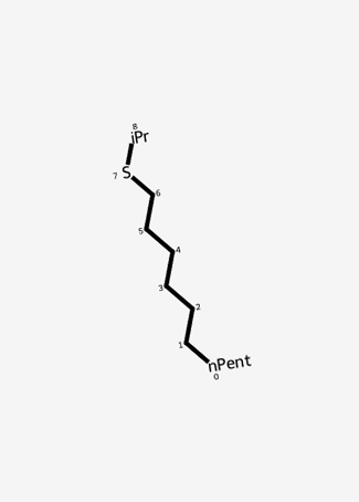 CCCCCCCCCC[CH]SC(C)C